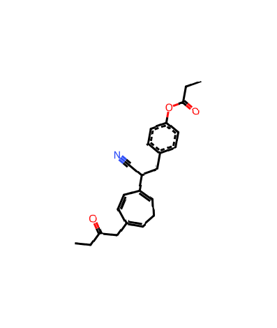 CCC(=O)CC1=CCC=C(C(C#N)Cc2ccc(OC(=O)CC)cc2)C=C1